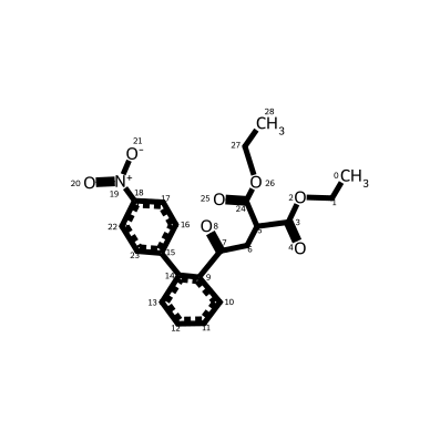 CCOC(=O)C(CC(=O)c1ccccc1-c1ccc([N+](=O)[O-])cc1)C(=O)OCC